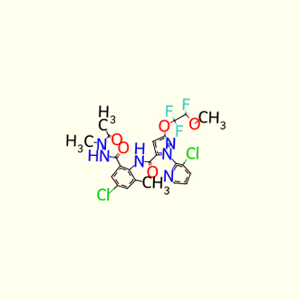 COC(F)C(F)(F)Oc1cc(C(=O)Nc2c(C)cc(Cl)cc2C(=O)NN(C)C(C)=O)n(-c2ncccc2Cl)n1